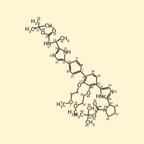 COCCOc1c(-c2ccc(-c3cnc([C@H](C)NC(=O)OC(C)(C)C)[nH]3)cc2)ccc(-c2cnc(C3CCCN3C(=O)OC(C)(C)C)[nH]2)c1OCCOC